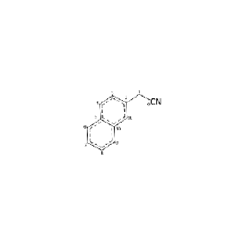 N#CCc1[c]cc2ccccc2c1